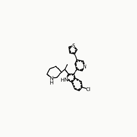 CC(c1[nH]c2ccc(Cl)cc2c1-c1cncc(-c2ccsc2)c1)C1CCCNC1